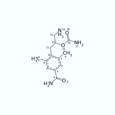 Cc1cc(C(N)=O)cc(C)c1CC(CN)OC(N)=O